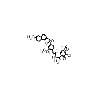 COc1cc(S(=O)(=O)Cc2ccc3c(c2)CCN(C)C3)ccc1NC(=O)NC(C)c1ccc(OC)c(Cl)c1Cl